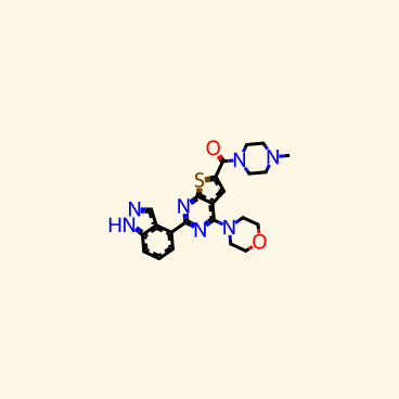 CN1CCN(C(=O)c2cc3c(N4CCOCC4)nc(-c4cccc5[nH]ncc45)nc3s2)CC1